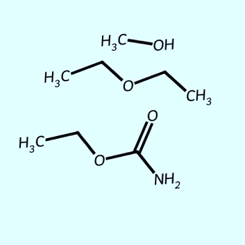 CCOC(N)=O.CCOCC.CO